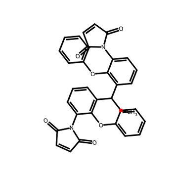 CCC(c1cccc(N2C(=O)C=CC2=O)c1Oc1ccccc1)c1cccc(N2C(=O)C=CC2=O)c1Oc1ccccc1